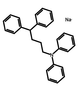 [Na].c1ccc(C(CCCN(c2ccccc2)c2ccccc2)c2ccccc2)cc1